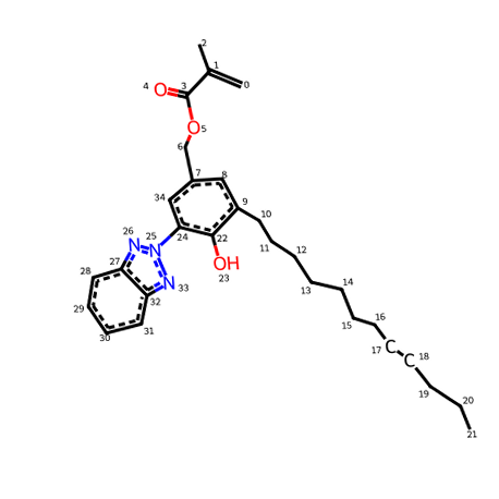 C=C(C)C(=O)OCc1cc(CCCCCCCCCCCC)c(O)c(-n2nc3ccccc3n2)c1